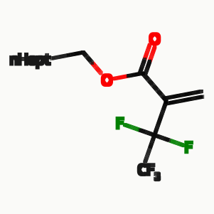 C=C(C(=O)OCCCCCCCC)C(F)(F)C(F)(F)F